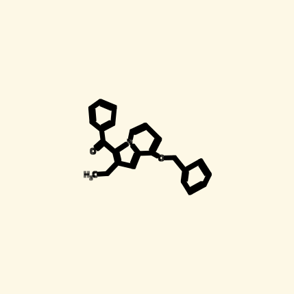 CCc1cc2c(OCc3ccccc3)cccn2c1C(=O)c1ccccc1